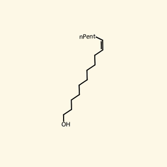 CCCCC/C=C\CCCCCCCCCO